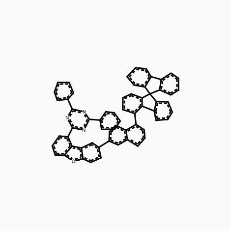 c1ccc(-c2nc(-c3ccccc3)nc(-c3cccc4oc5ccc(-c6ccc7c(-c8cccc9c8-c8ccccc8C98c9ccccc9-c9ccccc98)cccc7c6)cc5c34)n2)cc1